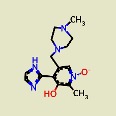 Cc1c(O)c(-c2ncc[nH]2)c(CN2CCN(C)CC2)c[n+]1[O-]